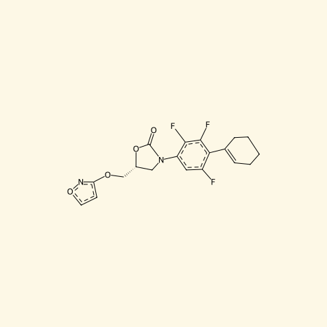 O=C1O[C@@H](COc2ccon2)CN1c1cc(F)c(C2=CCCCC2)c(F)c1F